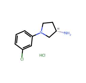 Cl.N[C@H]1CCN(c2cccc(Cl)c2)C1